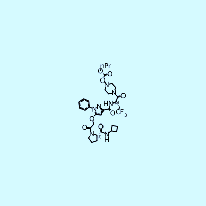 CCCOC(=O)ON1CCN(C(=O)[C@H](CC(F)(F)F)NC(=O)c2cc(OCC(=O)N3CCC[C@H]3C(=O)NC3CCC3)n(-c3ccccc3)n2)CC1